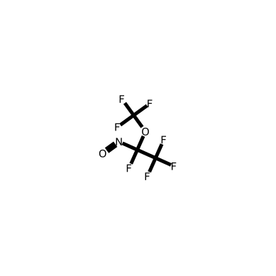 O=NC(F)(OC(F)(F)F)C(F)(F)F